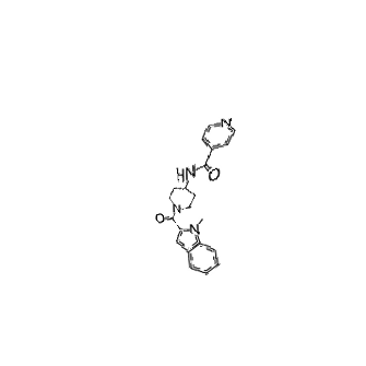 Cn1c(C(=O)N2CCC(NC(=O)c3ccncc3)CC2)cc2ccccc21